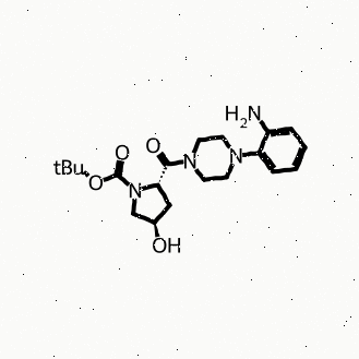 CC(C)(C)OC(=O)N1C[C@H](O)C[C@H]1C(=O)N1CCN(c2ccccc2N)CC1